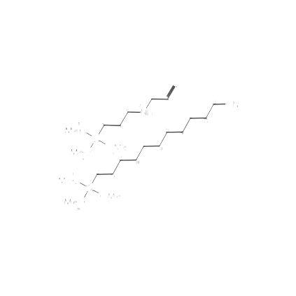 C=CCNCCC[Si](OC)(OC)OC.CO[Si](CCCCCCCCCCCC#N)(OC)OC